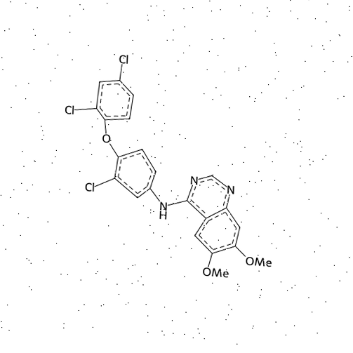 COc1cc2ncnc(Nc3ccc(Oc4ccc(Cl)cc4Cl)c(Cl)c3)c2cc1OC